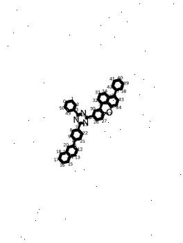 c1ccc(-c2nc(-c3ccc(-c4ccc5ccccc5c4)cc3)nc(-c3ccc4c(c3)-c3cccc5c(-c6ccccc6)ccc(c35)O4)n2)cc1